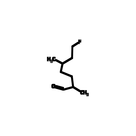 CC(C=O)CCC(C)CCF